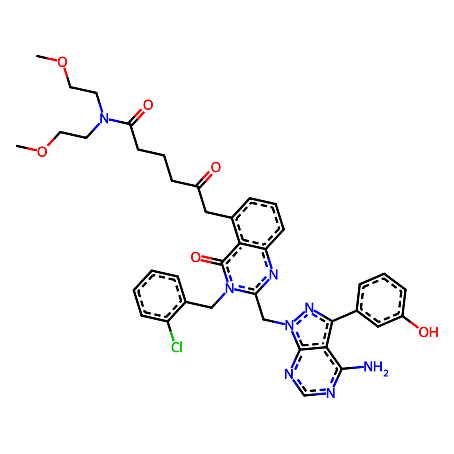 COCCN(CCOC)C(=O)CCCC(=O)Cc1cccc2nc(Cn3nc(-c4cccc(O)c4)c4c(N)ncnc43)n(Cc3ccccc3Cl)c(=O)c12